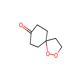 O=C1CCC2(CCOO2)CC1